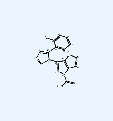 NC(=O)n1nc(-n2cncc2-c2ccccc2Cl)c2s[c]nc21